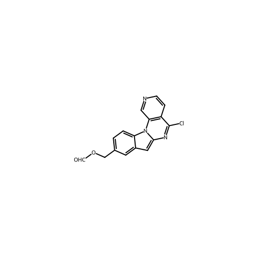 O=COCc1ccc2c(c1)cc1nc(Cl)c3ccncc3n12